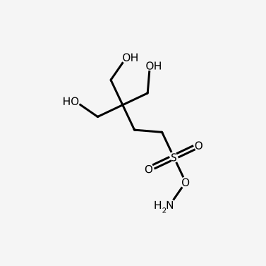 NOS(=O)(=O)CCC(CO)(CO)CO